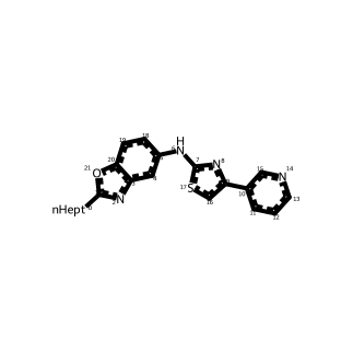 CCCCCCCc1nc2cc(Nc3nc(-c4cccnc4)cs3)ccc2o1